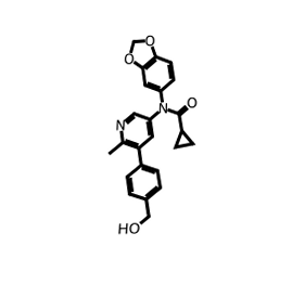 Cc1ncc(N(C(=O)C2CC2)c2ccc3c(c2)OCO3)cc1-c1ccc(CO)cc1